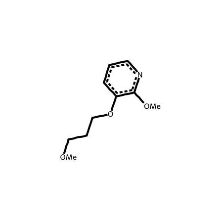 COCCCOc1cccnc1OC